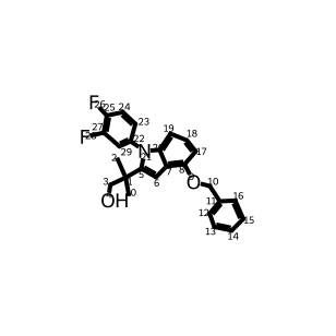 CC(C)(CO)c1cc2c(OCc3ccccc3)cccc2n1-c1ccc(F)c(F)c1